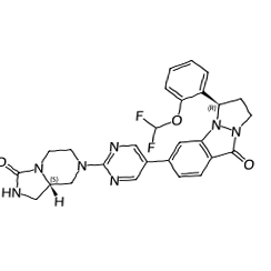 O=C1NC[C@H]2CN(c3ncc(-c4ccc5c(=O)n6n(c5c4)[C@@H](c4ccccc4OC(F)F)CC6)cn3)CCN12